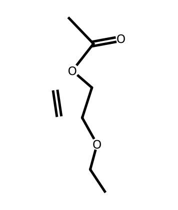 C=C.CCOCCOC(C)=O